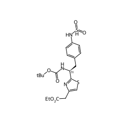 CCOC(=O)Cc1csc([C@H](Cc2ccc(N[SH](=O)=O)cc2)NC(=O)OC(C)(C)C)n1